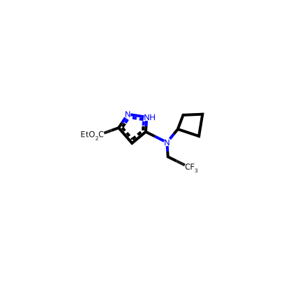 CCOC(=O)c1cc(N(CC(F)(F)F)C2CCC2)[nH]n1